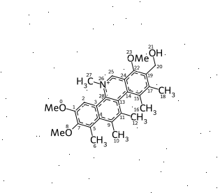 COc1cc2c(c(C)c1OC)c(C)c(C)c1c3c(C)c(C)c(CO)c(OC)c3c[n+](C)c21